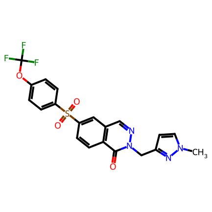 Cn1ccc(Cn2ncc3cc(S(=O)(=O)c4ccc(OC(F)(F)F)cc4)ccc3c2=O)n1